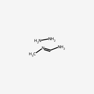 CN=CN.NN